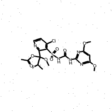 COc1cc(OC)nc(NC(=O)NS(=O)(=O)c2c(Cl)ccnc2C(OC)(OC(C)=O)C(C)F)n1